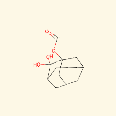 O=[C]OC12CC3CC(CC(C3)C1(O)O)C2